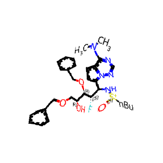 CCCC[S@@+]([O-])NC(c1ccc2c(N(C)C)ncnn12)[C@H](F)[C@H](OCc1ccccc1)[C@H](O)COCc1ccccc1